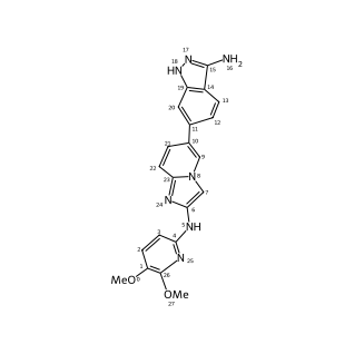 COc1ccc(Nc2cn3cc(-c4ccc5c(N)n[nH]c5c4)ccc3n2)nc1OC